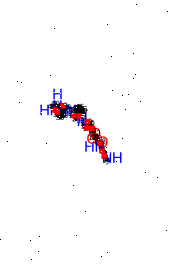 CNCCCCNC(=O)CCC(=O)OCCc1ccc(/N=N/c2ccc(/N=N/c3ccc4c5c(cccc35)NC(C)(C)N4)c3ccccc23)cc1